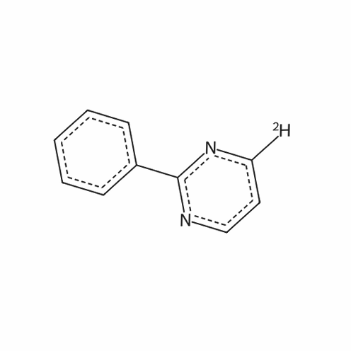 [2H]c1ccnc(-c2ccccc2)n1